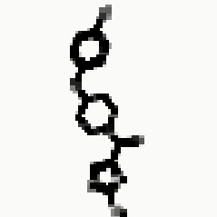 CC(C)c1nc(C(=O)N2CCC(Oc3ccc(Cl)cc3)CC2)cs1